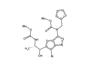 C[C@H](NC(=O)OC(C)(C)C)C(O)c1sc2c(N(Cc3cccs3)C(=O)OC(C)(C)C)snc2c1Br